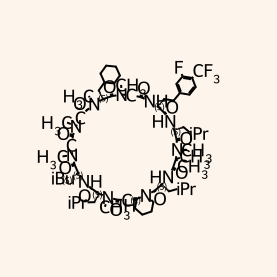 CC[C@H](C)[C@@H]1NC(=O)[C@H](CC(C)C)N(C)C(=O)C[C@H]2CCCCN2C(=O)[C@H](CC(C)C)NC(=O)C(C)(C)N(C)C(=O)[C@H](CC(C)C)NC(=O)[C@H](CCc2ccc(C(F)(F)F)c(F)c2)NC(=O)CN(C)C(=O)[C@H](CC2CCCCC2)N(C)C(=O)CN(C)C(=O)CN(C)C1=O